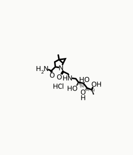 C[C@H](O)[C@H](O)[C@@H](O)[C@@H](O)CNCC(=O)N1C(C(N)=O)CC2(C)CC12.Cl